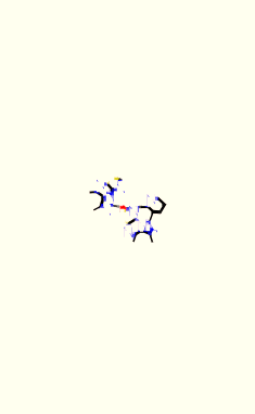 CCCc1nc(C)c2c(C)nc3scnc3n12.Cc1ncccc1-c1nc(C)c2c(C)nc3scnc3n12